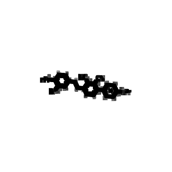 CCCc1ccc(CCc2ccc(C34CCC(CCC)(CC3)CC4)c(C#N)c2C#N)cc1Br